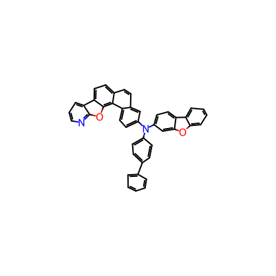 c1ccc(-c2ccc(N(c3ccc4c(ccc5ccc6c7cccnc7oc6c54)c3)c3ccc4c(c3)oc3ccccc34)cc2)cc1